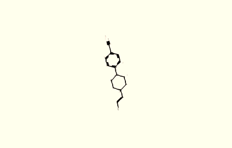 N#Cc1ccc(C2CCC(C=CF)CC2)cc1